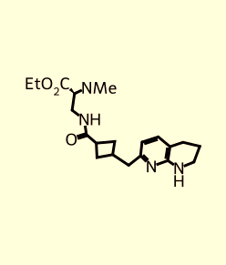 CCOC(=O)[C@H](CNC(=O)C1CC(Cc2ccc3c(n2)NCCC3)C1)NC